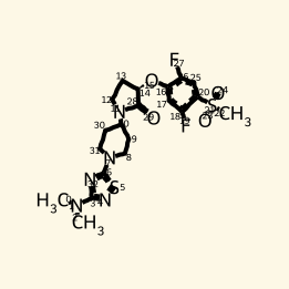 CN(C)c1nsc(N2CCC(N3CC[C@H](Oc4cc(F)c(S(C)(=O)=O)cc4F)C3=O)CC2)n1